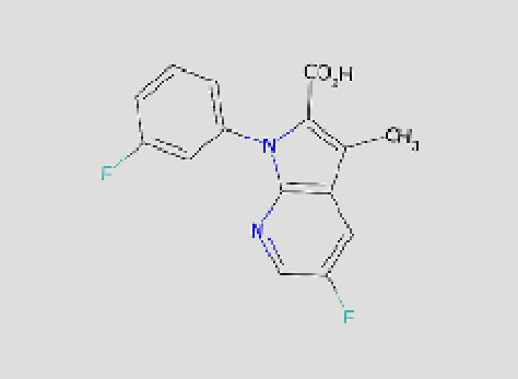 Cc1c(C(=O)O)n(-c2cccc(F)c2)c2ncc(F)cc12